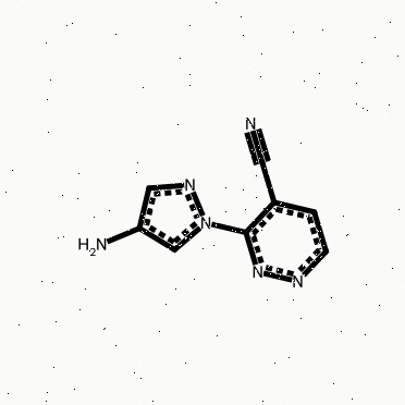 N#Cc1ccnnc1-n1cc(N)cn1